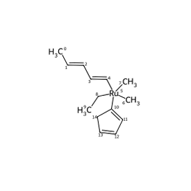 C/C=C/C=[CH]/[Ru]([CH3])([CH3])([CH2]C)[C]1=CC=CC1